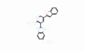 COc1ccc2nc(-c3cc(-c4cc5ccccc5o4)cnc3N)[nH]c2c1